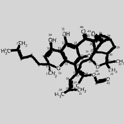 CC(C)=CCC[C@]1(C)C=C(O)c2c(O)c3c(c(CC=C(C)C)c2O1)O[C@]12C(=CC4CC1C(C)(C)OC2(C/C=C(/C)OC=O)C4=O)C3=O